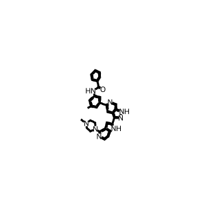 Cc1cc(NC(=O)c2ccccc2)cc(-c2cc3c(-c4cc5c(N6CCN(C)CC6)nccc5[nH]4)n[nH]c3cn2)c1